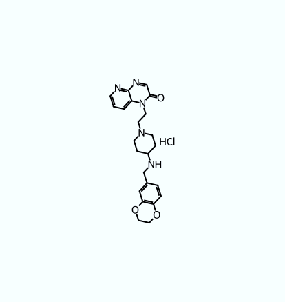 Cl.O=c1cnc2ncccc2n1CCN1CCC(NCc2ccc3c(c2)OCCO3)CC1